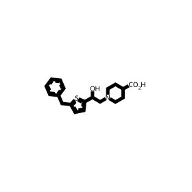 O=C(O)C1CCN(CC(O)c2ccc(Cc3ccccc3)s2)CC1